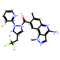 Cc1cc2nc(N)c3cnn(C)c3c2cc1C(=O)N1C=C(CC(F)(F)F)CN1c1ncccc1F